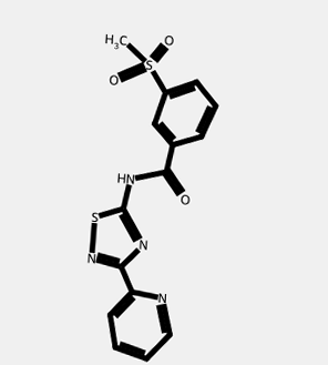 CS(=O)(=O)c1cccc(C(=O)Nc2nc(-c3ccccn3)ns2)c1